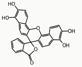 O=C1OC2(c3ccccc31)c1ccc3c(O)c(O)ccc3c1Oc1c2ccc2c(O)c(O)ccc12